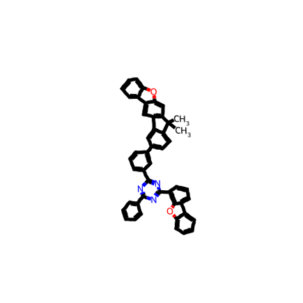 CC1(C)c2ccc(-c3cccc(-c4nc(-c5ccccc5)nc(-c5cccc6c5oc5ccccc56)n4)c3)cc2-c2cc3c(cc21)oc1ccccc13